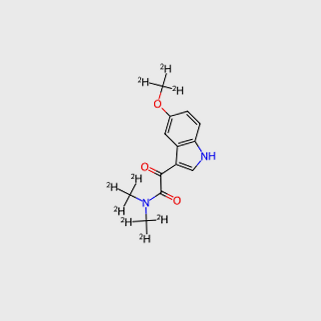 [2H]C([2H])([2H])Oc1ccc2[nH]cc(C(=O)C(=O)N(C([2H])([2H])[2H])C([2H])([2H])[2H])c2c1